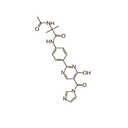 CC(=O)NC(C)(C)C(=O)Nc1ccc(-c2ncc(C(=O)n3ccnc3)c(O)n2)cc1